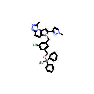 Cc1nnc2ccc3c(cc(-c4ccn(C)n4)n3Cc3cc(Cl)cc(CO[Si](c4ccccc4)(c4ccccc4)C(C)(C)C)c3)n12